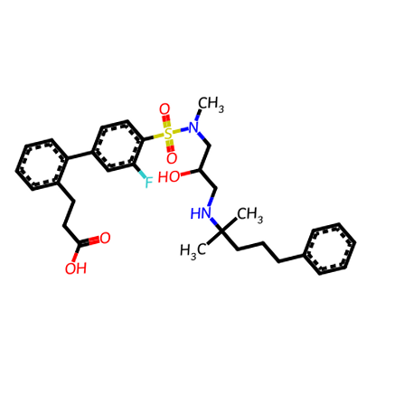 CN(CC(O)CNC(C)(C)CCCc1ccccc1)S(=O)(=O)c1ccc(-c2ccccc2CCC(=O)O)cc1F